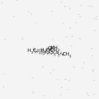 CCCCCCCCC(CCCCCCCC)C(C)(C)[O][AlH2]